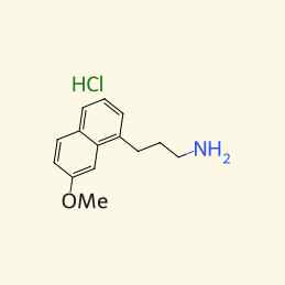 COc1ccc2cccc(CCCN)c2c1.Cl